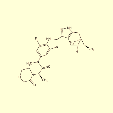 C[C@H](C(=O)N(C)c1cc(F)c2[nH]c(-c3n[nH]c4c3C[C@@H]3[C@H](C)[C@]3(C)C4)nc2c1)N1CCOCC1=O